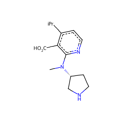 CC(C)c1ccnc(N(C)[C@@H]2CCNC2)c1C(=O)O